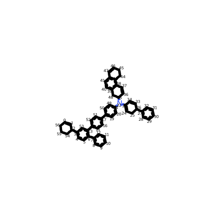 C1=CC(c2ccc(-c3ccccc3)c(-c3ccc(-c4ccc(N(C5=CCC(c6ccccc6)C=C5)C5C=Cc6c(ccc7c6CCC=C7)C5)cc4)cc3)c2)CCC1